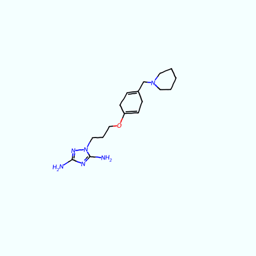 Nc1nc(N)n(CCCOC2=CCC(CN3CCCCC3)=CC2)n1